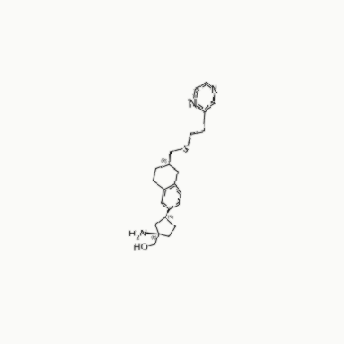 N[C@]1(CO)CC[C@H](c2ccc3c(c2)CC[C@@H](CSCCc2cnccn2)C3)C1